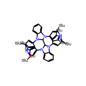 CC(C)(C)c1cc(N2c3ccccc3N(c3cc(C(C)(C)C)nc(C(C)(C)C)c3)C2C2N(c3cc(C(C)(C)C)nc(C(C)(C)C)c3)c3ccccc3N2c2cc(C(C)(C)C)nc(C(C)(C)C)c2)cc(C(C)(C)C)n1